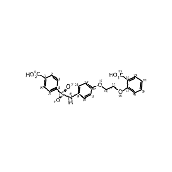 O=C(O)c1ccc(S(=O)(=O)Nc2ccc(OCCOc3ccccc3C(=O)O)cc2)cc1